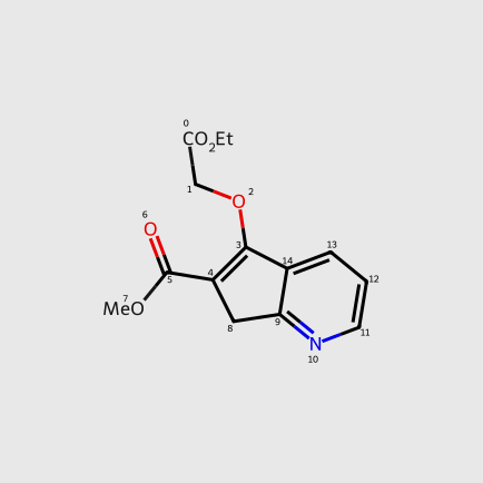 CCOC(=O)COC1=C(C(=O)OC)Cc2ncccc21